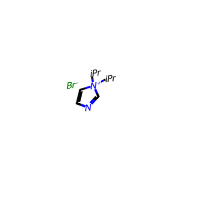 CC(C)[N+]1(C(C)C)C=CN=C1.[Br-]